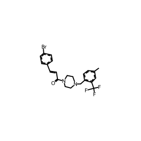 Cc1ccc(CN2CCN(C(=O)/C=C/c3ccc(Br)cc3)CC2)c(C(F)(F)F)c1